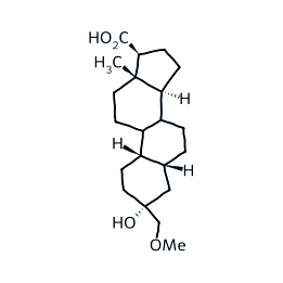 COC[C@@]1(O)CC[C@@H]2C3CC[C@]4(C)[C@@H](C(=O)O)CC[C@H]4C3CC[C@@H]2C1